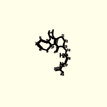 C=C1c2c([nH]c3ccccc23)CCC1CN/C=C\N=C(C)C